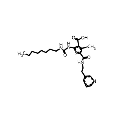 CCCCCCCCNC(=O)Nc1sc(C(=O)NCCc2cccnc2)c(C)c1C(=O)O